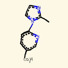 Cc1nccn1-c1ccc(C(=O)O)cn1